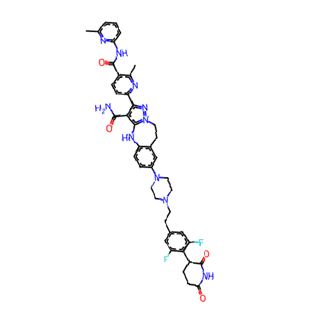 Cc1cccc(NC(=O)c2ccc(-c3nn4c(c3C(N)=O)Nc3ccc(N5CCN(CCc6cc(F)c(C7CCC(=O)NC7=O)c(F)c6)CC5)cc3CC4)nc2C)n1